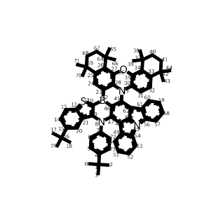 CC(C)(C)c1ccc(N2c3c(sc4ccc(C(C)(C)C)cc34)B3c4cc5c(c6c4N(c4ccc7c(c4O6)C(C)(C)CCC7(C)C)c4c3c2c2c3ccccc3n3c6ccccc6c4c23)C(C)(C)CCC5(C)C)cc1